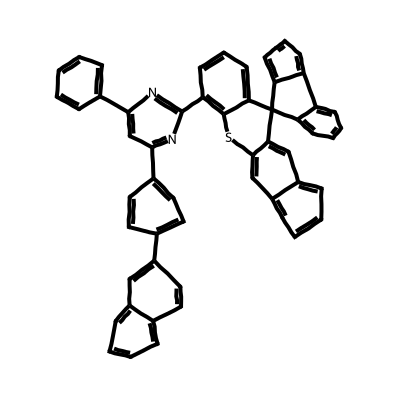 c1ccc(-c2cc(-c3ccc(-c4ccc5ccccc5c4)cc3)nc(-c3cccc4c3Sc3cc5ccccc5cc3C43c4ccccc4-c4ccccc43)n2)cc1